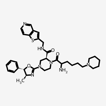 C[C@@H]1N=C(N2CCN(C(=O)C(N)CCCCN3CCCCC3)[C@H](C(=O)NCc3cc4cnccc4s3)C2)O[C@H]1c1ccccc1